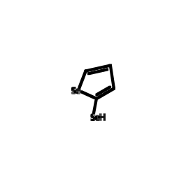 [SeH]c1ccc[se]1